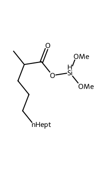 CCCCCCCCCCC(C)C(=O)O[SiH](OC)OC